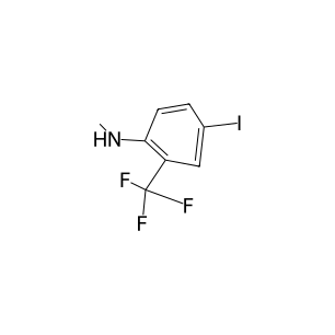 CNc1ccc(I)cc1C(F)(F)F